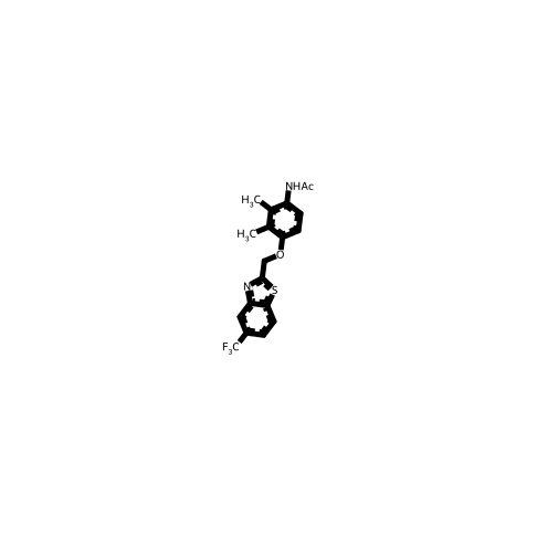 CC(=O)Nc1ccc(OCc2nc3cc(C(F)(F)F)ccc3s2)c(C)c1C